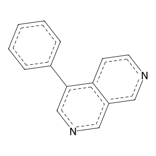 c1ccc(-c2cncc3cnccc23)cc1